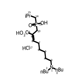 CCCCN(CCCC)CCCCC/C=C(\CP(=O)(O)CC(C)C)C(=O)O.Cl